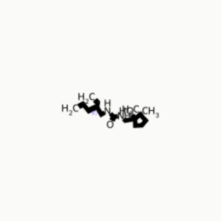 C=C/C=C(\C=C)CNC(=O)NCC1(O)CCCC1(C)C